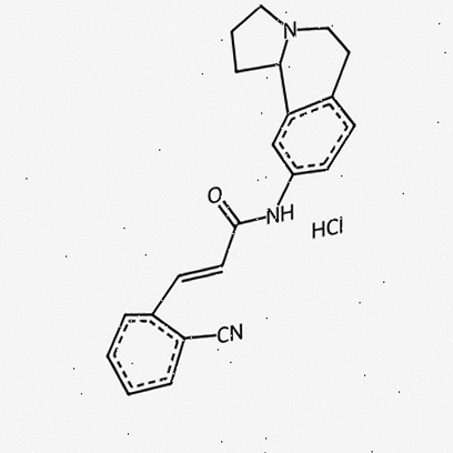 Cl.N#Cc1ccccc1C=CC(=O)Nc1ccc2c(c1)C1CCCN1CC2